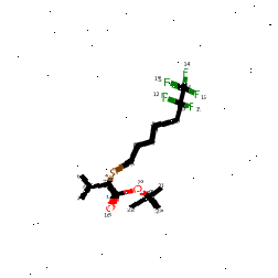 CC(C)C(SCCCCCC(F)(F)C(F)(F)F)C(=O)OC(C)(C)C